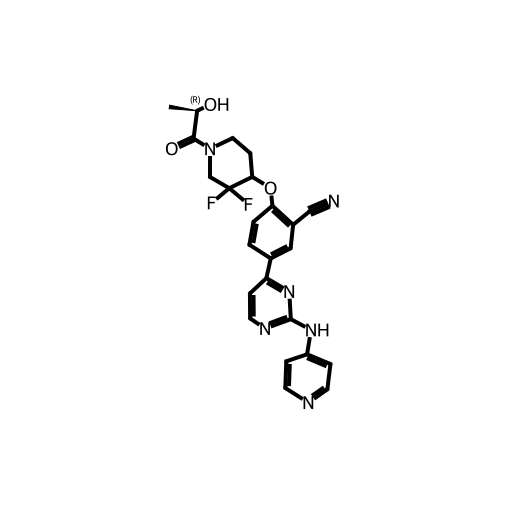 C[C@@H](O)C(=O)N1CCC(Oc2ccc(-c3ccnc(Nc4ccncc4)n3)cc2C#N)C(F)(F)C1